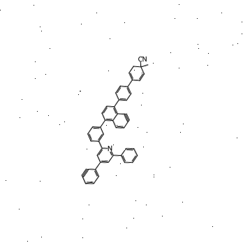 CC1(C#N)C=CC(c2ccc(-c3ccc(-c4cccc(-c5cc(-c6c#cccc6)cc(-c6ccccc6)n5)c4)c4ccc#cc34)cc2)=CC1